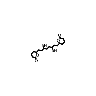 O=C1CCCC(CCC(S)CCC(S)CCC2CCCC(=O)O2)O1